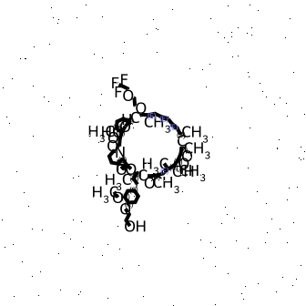 CO[C@@H]1C[C@H](C[C@@H](C)[C@@H]2CC(=O)[C@H](C)/C=C(\C)[C@@H](O)[C@@H](OC)C(=O)[C@H](C)C[C@H](C)/C=C/C=C/C=C(\C)C(OCCOCC(F)(F)F)C[C@@H]3CC[C@@H](C)[C@@](O)(O3)C(=O)C(=O)N3CCCC[C@H]3C(=O)O2)CC[C@H]1OCCO